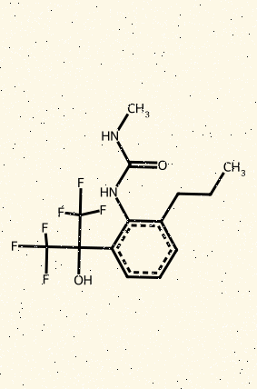 CCCc1cccc(C(O)(C(F)(F)F)C(F)(F)F)c1NC(=O)NC